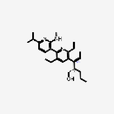 C/C=C(\c1cc(CC)c(-c2ccc(C(C)C)nc2NC)nc1CC)[C@@H](CO)CCC